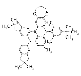 Cc1cc2c3c(c1)N(c1c(C)cc(C(C)(C)C)cc1C)c1cc4c(cc1B3c1cc3c(cc1N2c1ccc2c(c1)CC(C)(C)C2)CC(C)(C)C3)OCCCO4